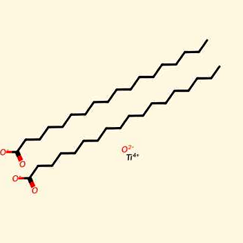 CCCCCCCCCCCCCCCCCC(=O)[O-].CCCCCCCCCCCCCCCCCC(=O)[O-].[O-2].[Ti+4]